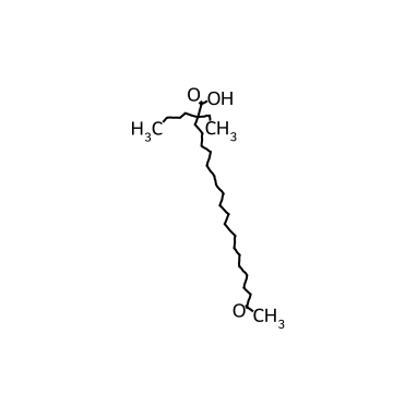 CCCCC(CC)(CCCCCCCCCCCCCCCCCCC(C)=O)C(=O)O